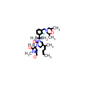 BC(B)(N/C=C(CN(C=O)C(B)(CCC=O)C(=O)NC)/C(C)=C\C=C/C)c1cccc(CN2CC(C)OC(C)C2)c1F